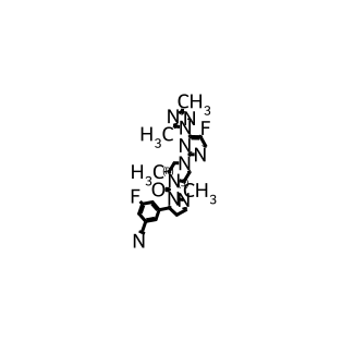 Cc1nc(C)n(-c2nc(N3C[C@@H](C)N(C(=O)N4N=CCC4c4cc(F)cc(C#N)c4)[C@@H](C)C3)ncc2F)n1